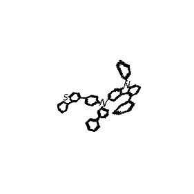 c1ccc(-c2cccc(N(c3ccc(-c4ccc5sc6ccccc6c5c4)cc3)c3ccc4c(c3)c3c(-c5ccccc5)cccc3n4-c3ccccc3)c2)cc1